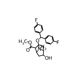 COC(=O)C1C(OC(c2ccc(F)cc2)c2ccc(F)cc2)CC2C(O)CC1N2C